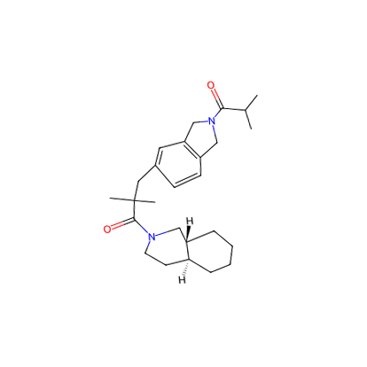 CC(C)C(=O)N1Cc2ccc(CC(C)(C)C(=O)N3CC[C@@H]4CCCC[C@H]4C3)cc2C1